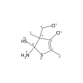 CC1=C(Cl)C(C)(CCl)C(N)(S)S1